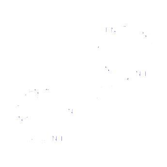 C(CCC1CNCCCNCCNCCCN1)CCN1CCCNCCNCCCNCC1